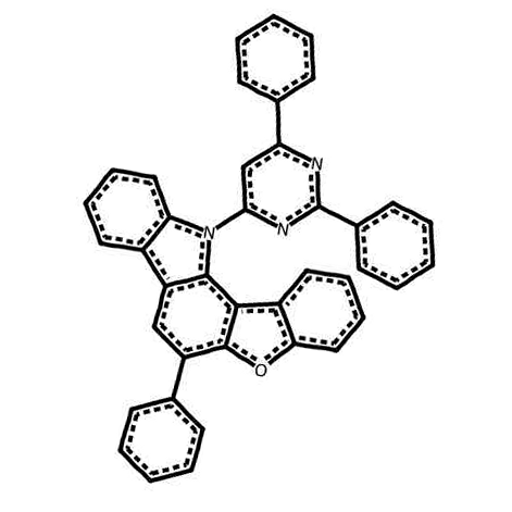 c1ccc(-c2cc(-n3c4ccccc4c4cc(-c5ccccc5)c5oc6ccccc6c5c43)nc(-c3ccccc3)n2)cc1